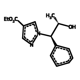 CCOC(=O)c1cnn([C@H](c2ccccc2)[C@H](C)O)c1